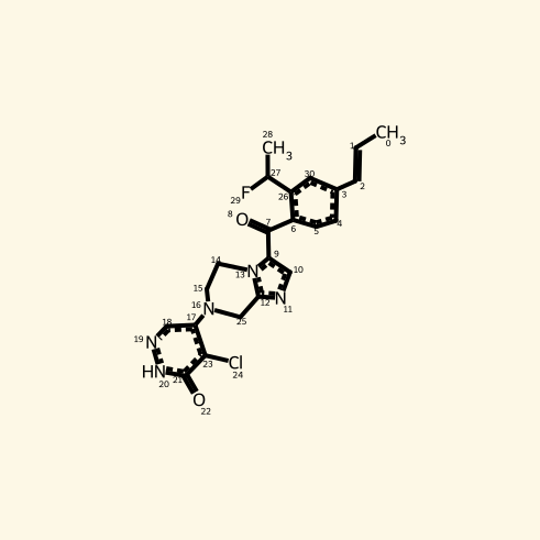 C/C=C/c1ccc(C(=O)c2cnc3n2CCN(c2cn[nH]c(=O)c2Cl)C3)c(C(C)F)c1